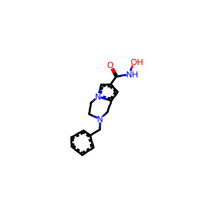 O=C(NO)c1cc2n(c1)CCN(Cc1ccccc1)C2